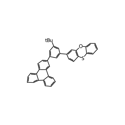 CC(C)(C)c1cc(-c2ccc3c(c2)Oc2ccccc2S3)cc(-c2ccc3c4ccccc4c4ccccc4c3c2)c1